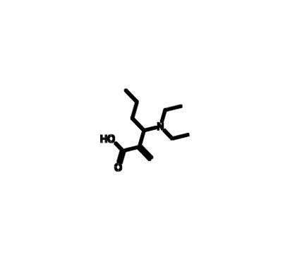 C=C(C(=O)O)C(CCC)N(CC)CC